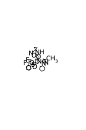 Cc1cc(N2C[C@H](S(=O)(=O)c3ccccc3C(F)(F)F)C[C@@H]2OC(=O)NC2(C#N)CC2)n(C2CCCCC2)n1